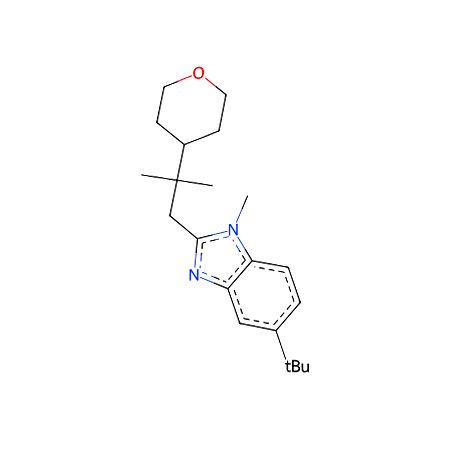 Cn1c(CC(C)(C)C2CCOCC2)nc2cc(C(C)(C)C)ccc21